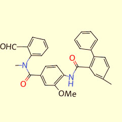 COc1cc(C(=O)N(C)c2ccccc2C=O)ccc1NC(=O)c1cc(C)ccc1-c1ccccc1